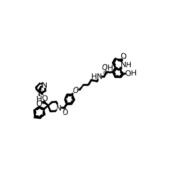 O=C(c1ccc(OCCCCCNC[C@H](O)c2ccc(O)c3[nH]c(=O)ccc23)cc1)N1CCC(C(=O)O[C@H]2CN3CCC2CC3)(c2ccccc2)CC1